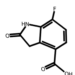 O=C1Cc2c(C(=O)O)ccc(F)c2N1